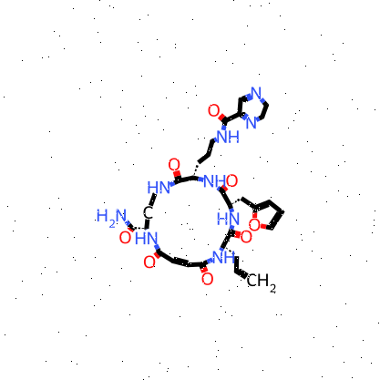 C=CC[C@@H]1NC(=O)/C=C\C(=O)N[C@H](C(N)=O)CCNC(=O)[C@H](CCCNC(=O)C2=NCCN=C2)NC(=O)[C@H](Cc2ccco2)NC1=O